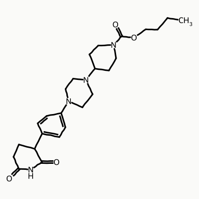 CCCCOC(=O)N1CCC(N2CCN(c3ccc(C4CCC(=O)NC4=O)cc3)CC2)CC1